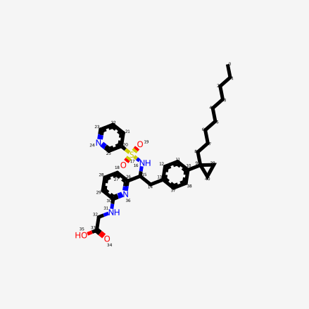 CCCCCCCCCC1(c2ccc(CC(NS(=O)(=O)c3cccnc3)c3cccc(NCC(=O)O)n3)cc2)CC1